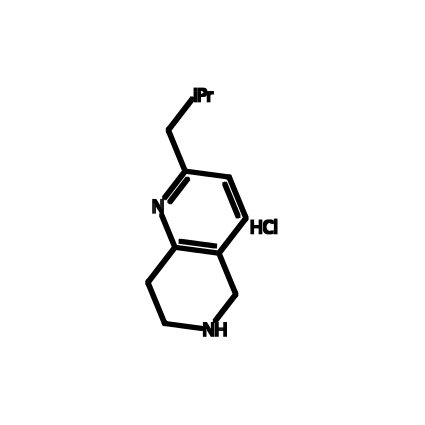 CC(C)Cc1ccc2c(n1)CCNC2.Cl